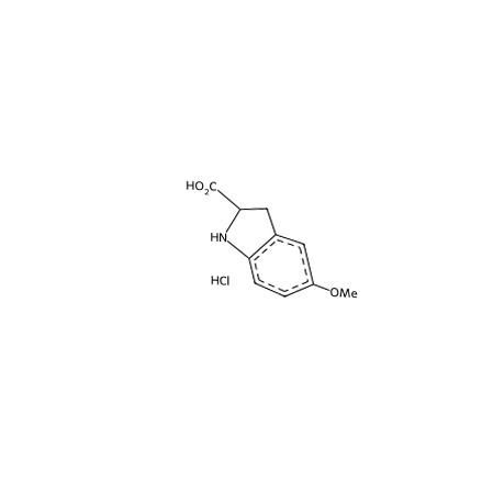 COc1ccc2c(c1)CC(C(=O)O)N2.Cl